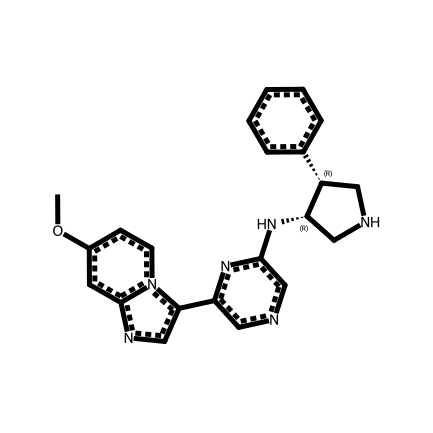 COc1ccn2c(-c3cncc(N[C@H]4CNC[C@H]4c4ccccc4)n3)cnc2c1